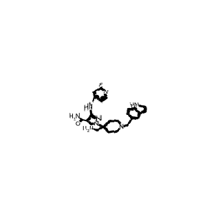 NCC1(n2cc(C(N)=O)c(Nc3ccnc(F)c3)n2)CCN(Cc2ccc3[nH]ccc3c2)CC1